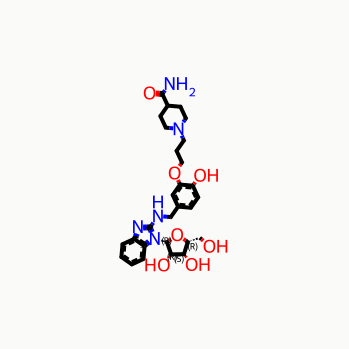 NC(=O)C1CCN(CCCOc2cc(CNc3nc4ccccc4n3[C@@H]3O[C@H](CO)[C@@H](O)[C@H]3O)ccc2O)CC1